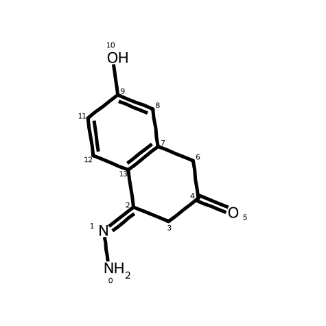 NN=C1CC(=O)Cc2cc(O)ccc21